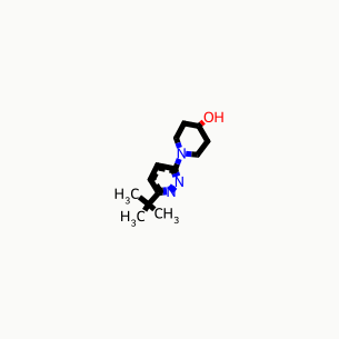 CC(C)(C)c1ccc(N2CCC(O)CC2)nn1